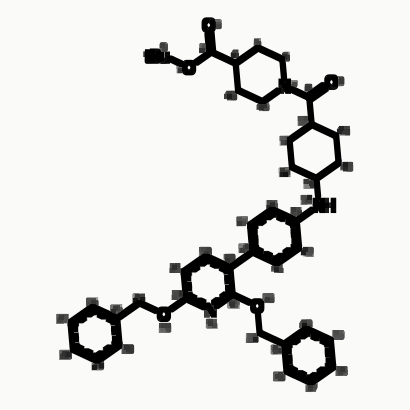 CC(C)(C)OC(=O)C1CCN(C(=O)C2CCC(Nc3ccc(-c4ccc(OCc5ccccc5)nc4OCc4ccccc4)cc3)CC2)CC1